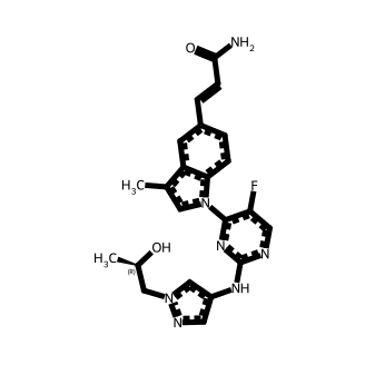 Cc1cn(-c2nc(Nc3cnn(C[C@@H](C)O)c3)ncc2F)c2ccc(C=CC(N)=O)cc12